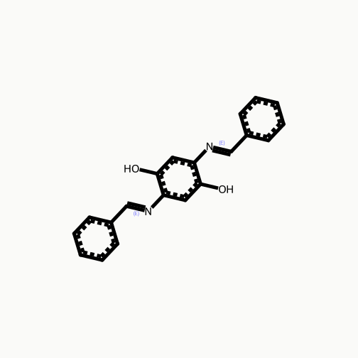 Oc1cc(/N=C/c2ccccc2)c(O)cc1/N=C/c1ccccc1